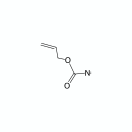 C=CCOC([N])=O